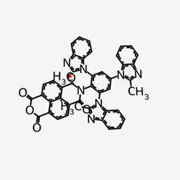 Cc1nc2ccccc2n1-c1cc(-n2c(C)nc3ccccc32)c(N2C(=O)c3ccc4c5c(ccc(c35)C2=O)C(=O)OC4=O)c(-n2c(C)nc3ccccc32)c1